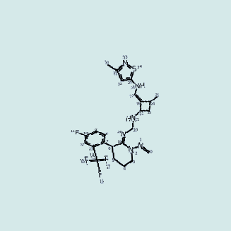 C=NN1CCCC(c2ccc(F)cc2C(F)(F)F)/C1=N/CNC1CC(C)/C1=C\Nc1cc(C)ns1